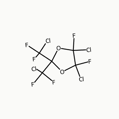 FC(F)(Cl)C1(C(F)(F)Cl)OC(F)(Cl)C(F)(Cl)O1